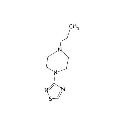 CCCN1CCN(c2ncsn2)CC1